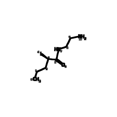 CCC[C@@H](I)C(=O)NCCN